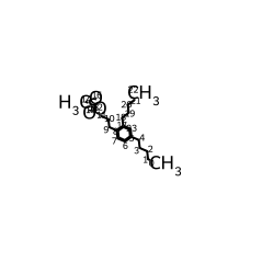 CCCCCc1ccc(CCCOS(C)(=O)=O)c(CCCCC)c1